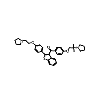 CC(C)(COc1ccc(C(=O)c2c(-c3ccc(OCCN4CCCC4)cc3)sc3ccccc23)cc1)N1CCCC1